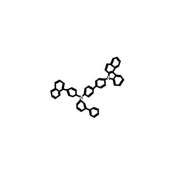 C1=CC(N(c2ccc(-c3ccc(-n4c5ccccc5c5c6ccccc6ccc54)cc3)cc2)c2cccc(-c3ccccc3)c2)CC=C1c1cccc2ccccc12